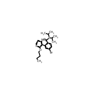 CCCCOc1nccc(N)c1-c1cc(Br)ccc1C(=O)N(C(C)C)C(C)C